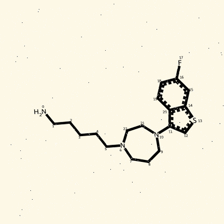 NCCCCCN1CCCN(c2csc3cc(F)ccc23)CC1